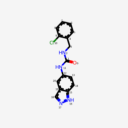 O=C(NCc1ccccc1Cl)Nc1ccc2[nH]ncc2c1